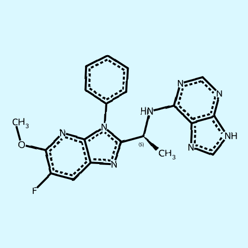 COc1nc2c(cc1F)nc([C@H](C)Nc1ncnc3[nH]cnc13)n2-c1ccccc1